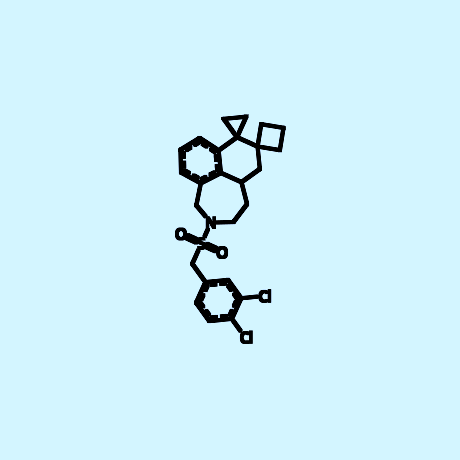 O=S(=O)(Cc1ccc(Cl)c(Cl)c1)N1CCC2CC3(CCC3)C3(CC3)c3cccc(c32)C1